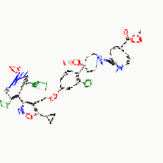 COC(=O)c1ccnc(N2CCC(O)(c3ccc(OCc4c(-c5c(Cl)c[n+]([O-])cc5Cl)noc4C4CC4)cc3Cl)CC2)c1